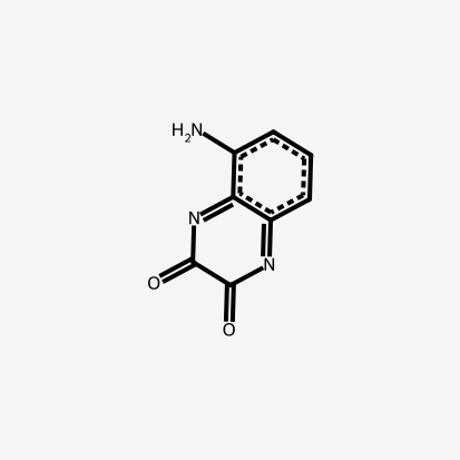 Nc1cccc2c1=NC(=O)C(=O)N=2